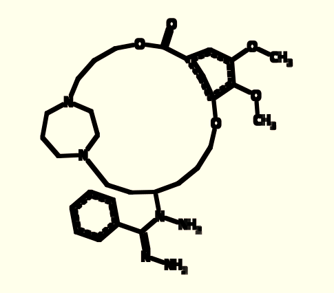 COc1cc2cc(c1OC)OCCCC(N(N)/C(=N\N)c1ccccc1)CCN1CCCN(CCCOC2=O)CC1